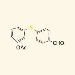 CC(=O)Oc1cccc(Sc2ccc(C=O)cc2)c1